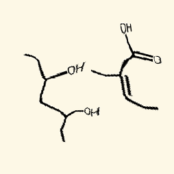 CC(O)CC(C)O.CC=C(C)C(=O)O